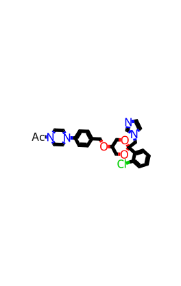 CC(=O)N1CCN(c2ccc(COC3COC(Cn4ccnc4)(c4ccccc4Cl)OC3)cc2)CC1